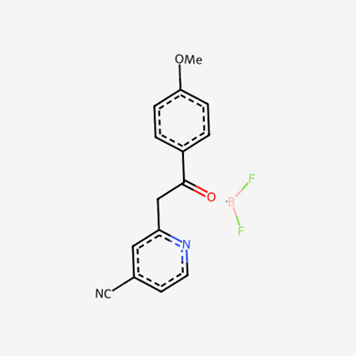 COc1ccc(C(=O)Cc2cc(C#N)ccn2)cc1.F[B]F